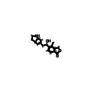 Cc1c([C@@H](O)CN2CC3CCNC3C2)ccc2c1COC2=O